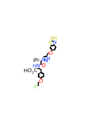 CC(C)[C@@H](C(=O)N[C@@H](Cc1ccc(OCCF)cc1)C(=O)O)n1cc(COc2ccc3nc(S)sc3c2)nn1